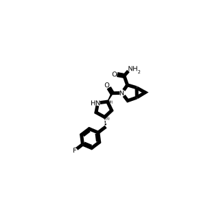 NC(=O)C1C2CC2CN1C(=O)[C@H]1C[C@H](Cc2ccc(F)cc2)CN1